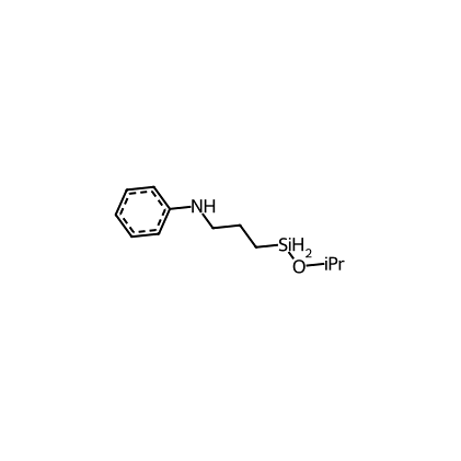 CC(C)O[SiH2]CCCNc1ccccc1